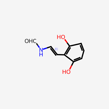 O=CN/C=C/c1c(O)cccc1O